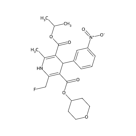 CC1=C(C(=O)OC(C)C)C(c2cccc([N+](=O)[O-])c2)C(C(=O)OC2CCOCC2)=C(CF)N1